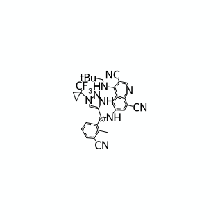 Cc1c(C#N)cccc1[C@H](Nc1cc(C#N)c2ncc(C#N)c(NCC(C)(C)C)c2c1)C1=CN(C2(C(F)(F)F)CC2)NN1